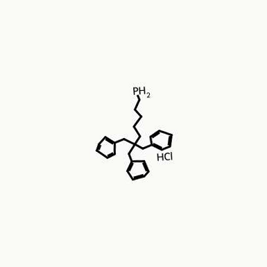 Cl.PCCCCCC(Cc1ccccc1)(Cc1ccccc1)Cc1ccccc1